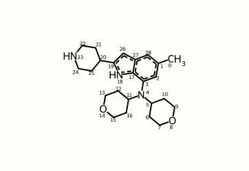 Cc1cc(N(C2CCOCC2)C2CCOCC2)c2[nH]c(C3CCNCC3)cc2c1